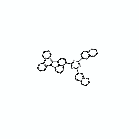 c1ccc2cc(-c3nc(-c4ccc5ccccc5c4)nc(-c4ccc5c6c(cccc46)-c4c-5c5ccccc5c5ccccc45)n3)ccc2c1